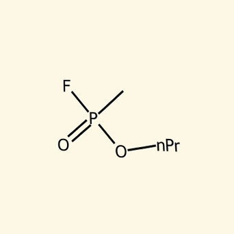 CCCOP(C)(=O)F